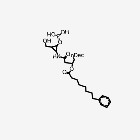 CCCCCCCCCCCC(CC(=O)NC1C(CO)C1OP(O)O)OC(=O)CCCCCCCc1ccccc1